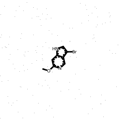 COc1cc2[nH]cc(Br)c2cn1